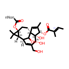 C/C=C(\C)C(=O)O[C@H]1C(C)=C[C@@]23CC[C@]4(OC(=O)CCCCCCCCC)[C@H]([C@H](C=C(CO)[C@@H](O)[C@]12O)C3O)C4(C)C